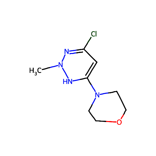 CN1N=C(Cl)C=C(N2CCOCC2)N1